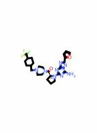 Nc1nc(N2CCC[C@H]2C(=O)N2CCN(CC3CCC(C(F)(F)F)CC3)CC2)nc2nc(-c3ccco3)nn12